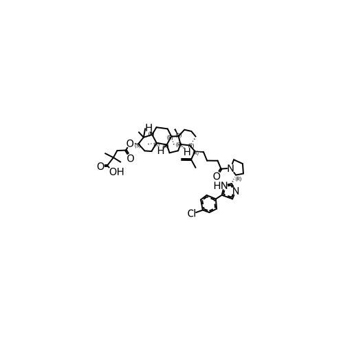 C=C(C)[C@H](CCCC(=O)N1CCC[C@@H]1c1ncc(-c2ccc(Cl)cc2)[nH]1)[C@H]1CCC[C@]2(C)[C@@H]1CC[C@@H]1[C@@]3(C)CC[C@H](OC(=O)CC(C)(C)C(=O)O)C(C)(C)[C@@H]3CC[C@]12C